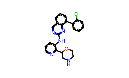 Clc1ccccc1-c1cccc2cnc(Nc3cccnc3C3CNCCO3)nc12